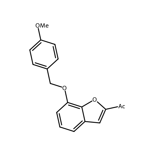 COc1ccc(COc2cccc3cc(C(C)=O)oc23)cc1